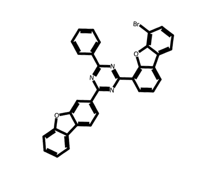 Brc1cccc2c1oc1c(-c3nc(-c4ccccc4)nc(-c4ccc5c(c4)oc4ccccc45)n3)cccc12